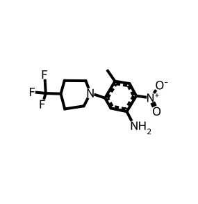 Cc1cc([N+](=O)[O-])c(N)cc1N1CCC(C(F)(F)F)CC1